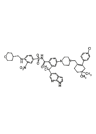 CC(c1cnc2[nH]ccc2c1)c1cc(N2CCN(CC3=C(c4ccc(Cl)cc4)CC(C)(C)CC3)CC2)ccc1C(=O)NS(=O)(=O)c1ccc(NCC2CCOCC2)c([N+](=O)[O-])c1